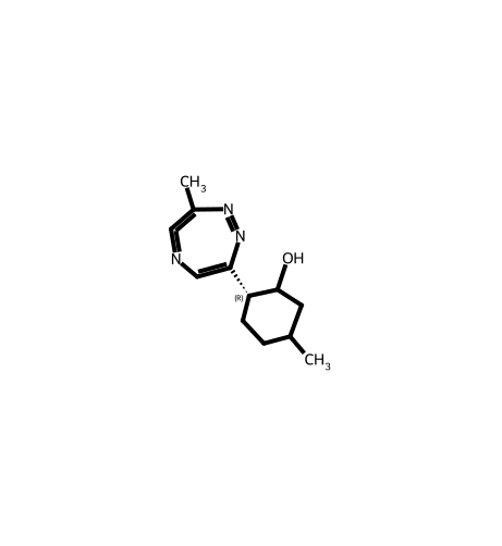 CC1=C=NC=C([C@H]2CCC(C)CC2O)N=N1